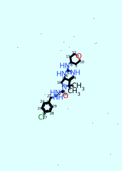 CC1(C)C2=CNC(NC3CCOCC3)NC2CN1C(=O)NNCc1ccc(Cl)cc1